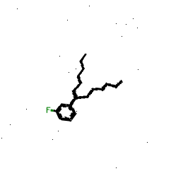 CCCCCCC(CCCCCC)c1cccc(F)c1